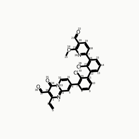 C=Cc1nc2cc(-c3cccc(-c4cccc(-c5ccc(C=O)c(OC)n5)c4Cl)c3Cl)ccn2c(=O)c1C=O